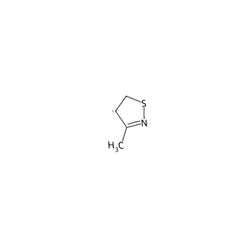 CC1=NSC[CH]1